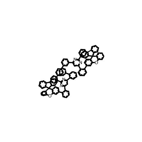 c1ccc(-c2nc(-c3cccc(-c4ccc(-c5ccc6c(c5)-c5ccccc5C65c6ccccc6Oc6cc(-c7ccccc7-c7cc(-c8ccccc8-c8ccccc8)nc(-c8ccccc8)n7)ccc65)cc4)c3)cc(-c3ccccc3-c3ccc4c(c3)Oc3ccccc3C43c4ccccc4-c4ccccc43)n2)cc1